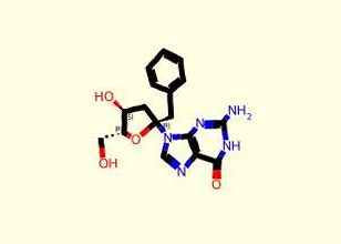 Nc1nc2c(ncn2[C@@]2(Cc3ccccc3)C[C@H](O)[C@@H](CO)O2)c(=O)[nH]1